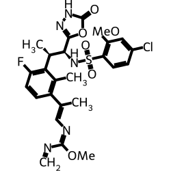 C=N/C(=N\C=C(/C)c1ccc(F)c([C@@H](C)[C@H](NS(=O)(=O)c2ccc(Cl)cc2OC)c2n[nH]c(=O)o2)c1C)OC